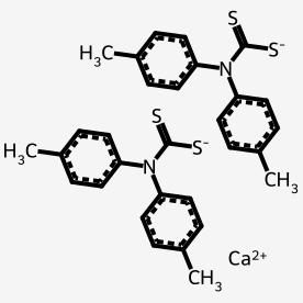 Cc1ccc(N(C(=S)[S-])c2ccc(C)cc2)cc1.Cc1ccc(N(C(=S)[S-])c2ccc(C)cc2)cc1.[Ca+2]